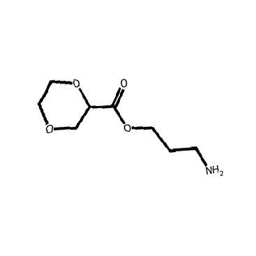 NCCCOC(=O)C1COCCO1